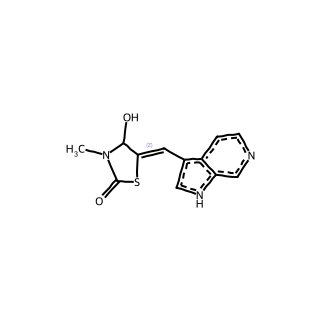 CN1C(=O)S/C(=C\c2c[nH]c3cnccc23)C1O